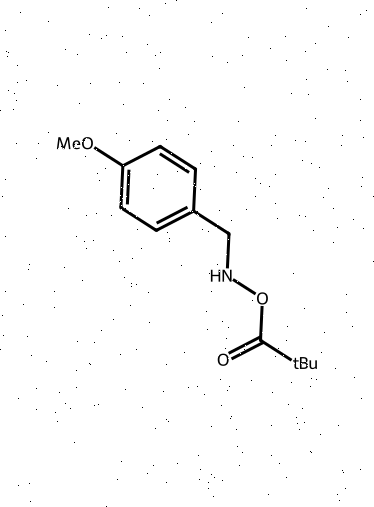 COc1ccc(CNOC(=O)C(C)(C)C)cc1